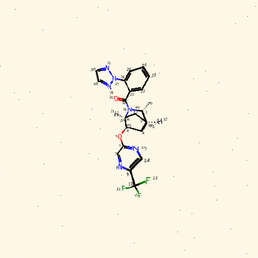 C[C@@H]1[C@H]2C[C@@H](Oc3cnc(C(F)(F)F)cn3)[C@H](C2)N1C(=O)c1ccccc1-n1nccn1